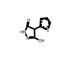 O=C1NN=C(O)C1c1cccs1